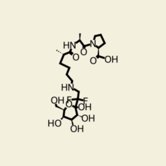 C[C@H](NC(=O)[C@@H](C)CCCCNCC(F)(F)C1(O)O[C@H](CO)[C@H](O)[C@H](O)[C@H]1O)C(=O)N1CCC[C@H]1C(=O)O